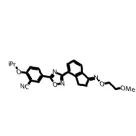 COCCON=C1CCc2c1cccc2-c1noc(-c2ccc(OC(C)C)c(C#N)c2)n1